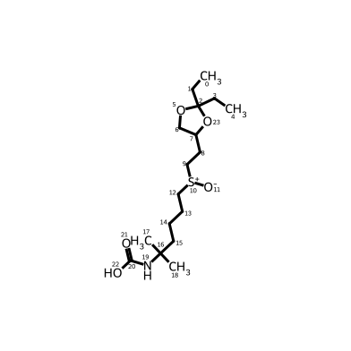 CCC1(CC)OCC(CC[S+]([O-])CCCCC(C)(C)NC(=O)O)O1